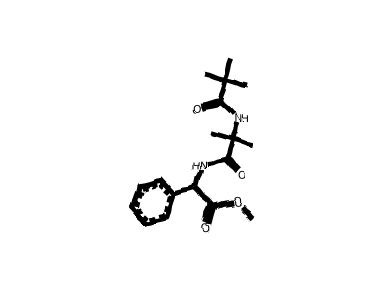 COC(=O)C(NC(=O)C(C)(C)NC(=O)C(C)(C)C)c1ccccc1